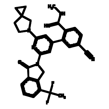 CNC(=N)c1ccc(C#N)cc1-c1cc(N2CCC3(CC3)C2)nc(N2Cc3c(cccc3C(C)(F)F)C2=O)c1